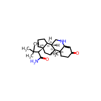 CC(C)(C)C(C(N)=O)[C@@]12CCC[C@H]1[C@@H]1CNC3=CC(=O)CC[C@]3(C)[C@H]1CC2